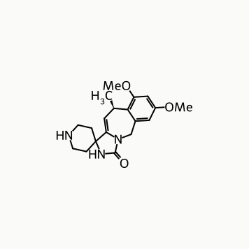 COc1cc2c(c(OC)c1)[C@H](C)C=C1N(C2)C(=O)NC12CCNCC2